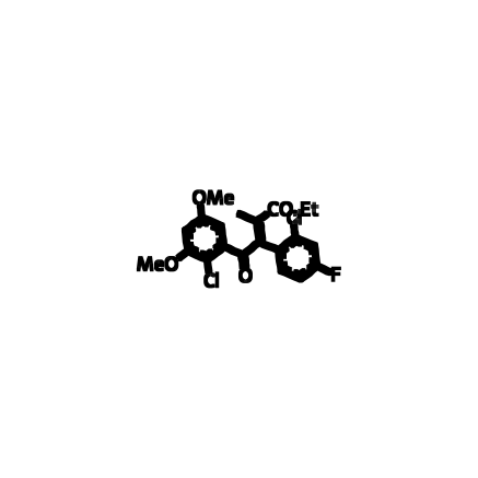 CCOC(=O)C(C)=C(C(=O)c1cc(OC)cc(OC)c1Cl)c1ccc(F)cc1Cl